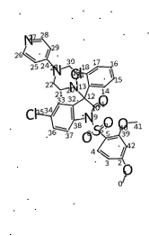 COc1ccc(S(=O)(=O)N2C(=O)C(c3ccccc3Cl)(N3CCN(c4ccncc4)CC3)c3cc(Cl)ccc32)c(OC)c1